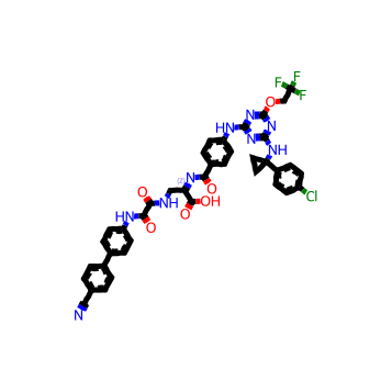 N#Cc1ccc(-c2ccc(NC(=O)C(=O)NC/C(=N/C(=O)c3ccc(Nc4nc(NC5(c6ccc(Cl)cc6)CC5)nc(OCC(F)(F)F)n4)cc3)C(=O)O)cc2)cc1